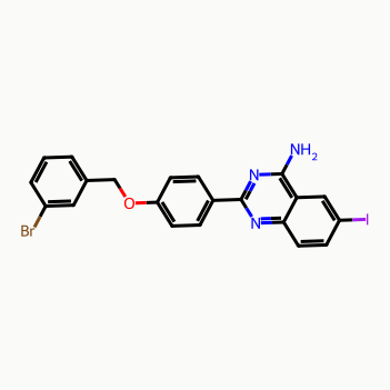 Nc1nc(-c2ccc(OCc3cccc(Br)c3)cc2)nc2ccc(I)cc12